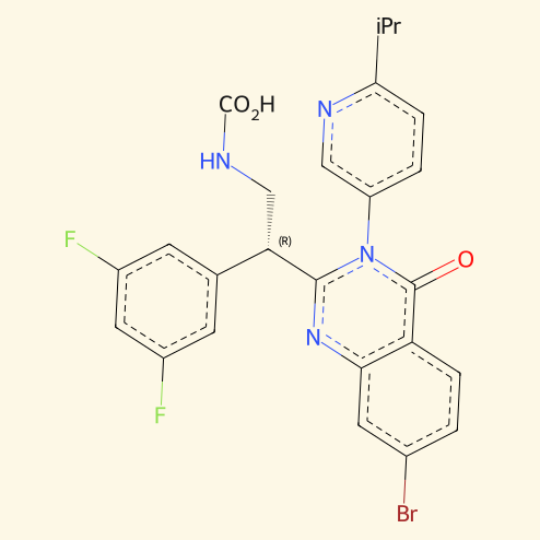 CC(C)c1ccc(-n2c([C@@H](CNC(=O)O)c3cc(F)cc(F)c3)nc3cc(Br)ccc3c2=O)cn1